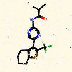 CC(C)C(=O)Nc1cnc(-c2c(C(F)(F)F)sc3c2CCCC3)cn1